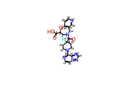 O=C(O)C1CN(C(=O)C2(F)CCN(c3nccn4ncnc34)CC2)Cc2cnccc2O1